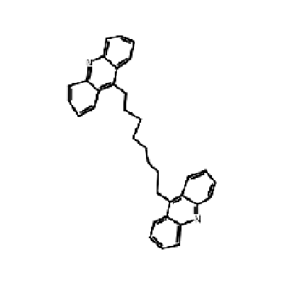 c1ccc2c(CCCCCCCCc3c4ccccc4nc4ccccc34)c3ccccc3nc2c1